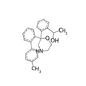 Cc1ccc(-c2ccccc2C2(c3ccccc3C(C)O)CNCCO2)cc1